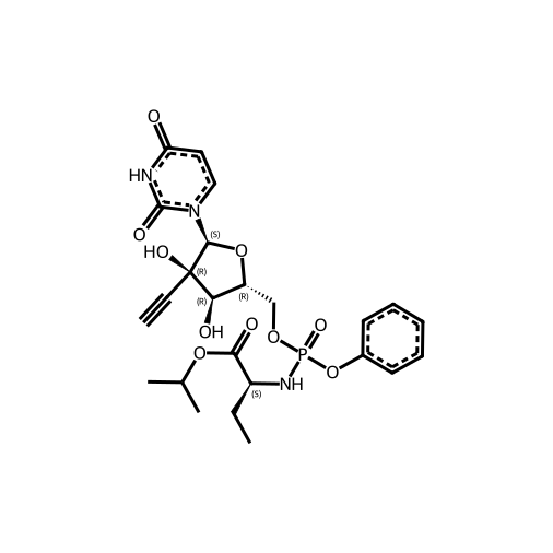 C#C[C@@]1(O)[C@H](O)[C@@H](COP(=O)(N[C@@H](CC)C(=O)OC(C)C)Oc2ccccc2)O[C@@H]1n1ccc(=O)[nH]c1=O